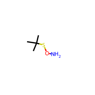 CC(C)(C)SON